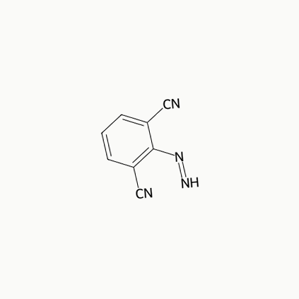 N#Cc1cccc(C#N)c1N=N